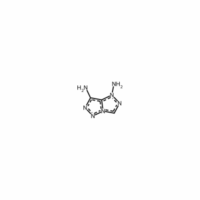 Nc1nnn2cnn(N)c12